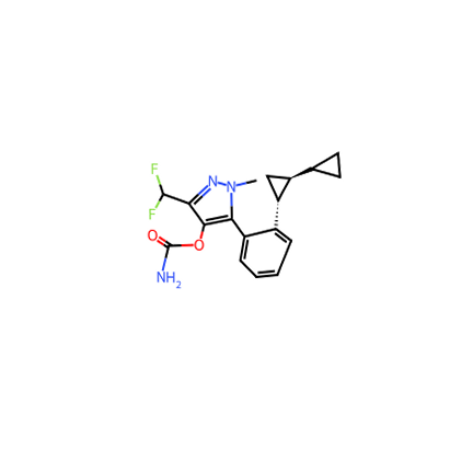 Cn1nc(C(F)F)c(OC(N)=O)c1-c1ccccc1[C@@H]1C[C@H]1C1CC1